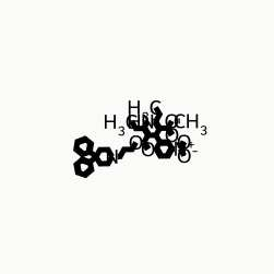 CCC1=C(C(=O)OC)C(c2cccc([N+](=O)[O-])c2)C(C(=O)OCCCN2CCC(c3ccccc3)(c3ccccc3)CC2)=C(CC)N1